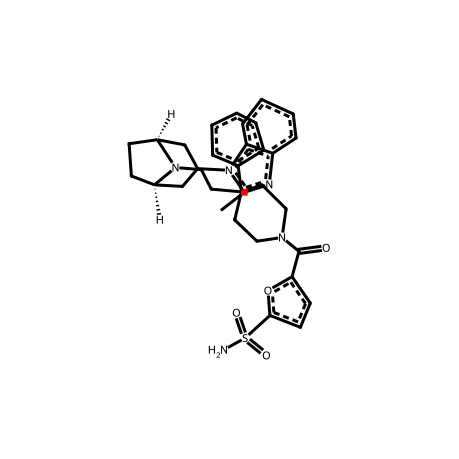 Cc1nc2ccccc2n1C1C[C@H]2CC[C@@H](C1)N2CCC1(c2ccccc2)CCN(C(=O)c2ccc(S(N)(=O)=O)o2)CC1